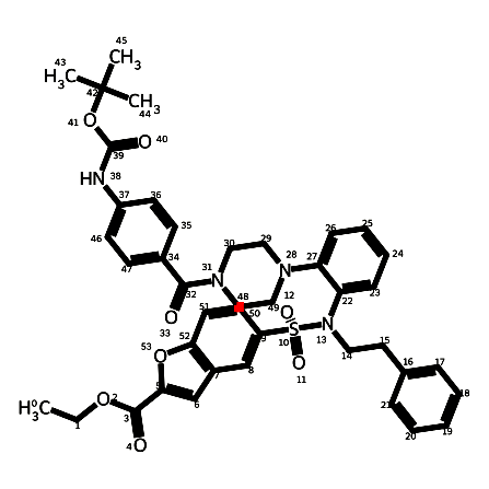 CCOC(=O)c1cc2cc(S(=O)(=O)N(CCc3ccccc3)c3ccccc3N3CCN(C(=O)c4ccc(NC(=O)OC(C)(C)C)cc4)CC3)ccc2o1